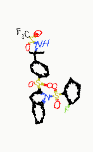 CC(C)(NS(=O)(=O)C(F)(F)F)c1ccc(S(=O)(=O)c2cc3ccccc3n2S(=O)(=O)c2ccccc2F)cc1